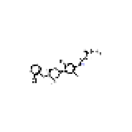 C[C@@H]1CN(c2cc(F)c(/C=N/NC(N)=S)cc2F)C[C@H](C)N1Cc1ccccc1Cl